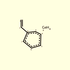 C=Cc1ccccc1.[GeH4]